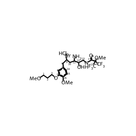 COCCCOc1cc(CC(CC(N)C(O)CNC(=O)C(OC)(C(F)(F)F)C(F)(F)F)C(C)C)ccc1OC.Cl